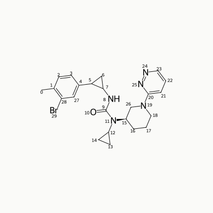 Cc1ccc(C2CC2NC(=O)N(C2CC2)[C@@H]2CCCN(c3cccnn3)C2)cc1Br